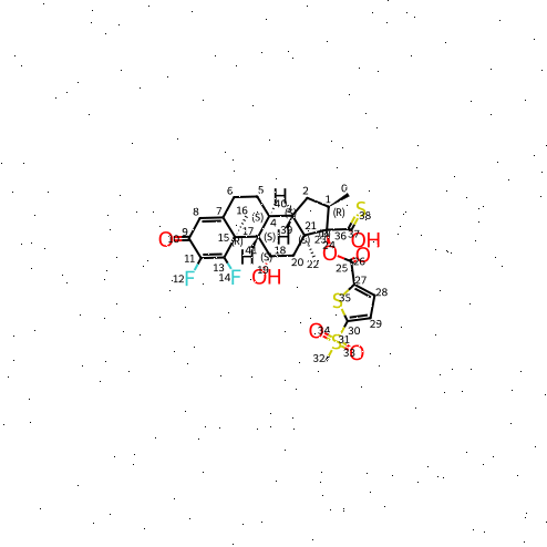 C[C@@H]1C[C@H]2[C@@H]3CCC4=CC(=O)C(F)=C(F)[C@]4(C)[C@H]3[C@@H](O)C[C@]2(C)[C@@]1(OC(=O)c1ccc(S(C)(=O)=O)s1)C(O)=S